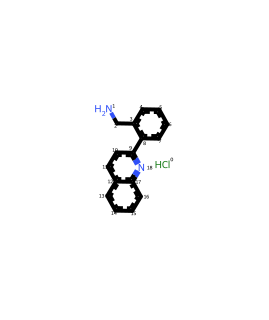 Cl.NCc1ccccc1-c1ccc2ccccc2n1